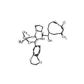 C=C1/C=C(Cl)\C=C/CCC(C(O)C(=O)N[C@H](CN2CCCC2)[C@H](O[Si](C)(C)C(C)(C)C)c2ccc3c(c2)OCCO3)C1